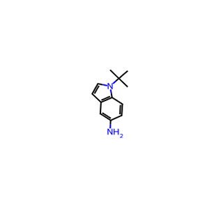 CC(C)(C)n1ccc2cc(N)ccc21